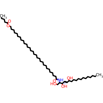 CCCCCCCCCCCCC(O)/C=C/C(O)C(CO)NC(=O)CCCCCCCCCCCCCCCCCCCCCCCCCCCCCOC(=O)CCCC